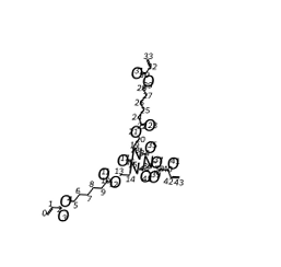 C=CC(=O)OCCCCCC(=O)OCCn1c(=O)n(CCOC(=O)CCCCCOC(=O)C=C)c(=O)n(OC(=O)C(=O)C=C)c1=O